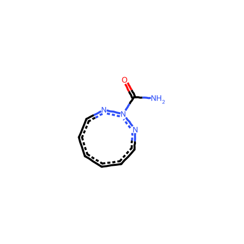 NC(=O)n1nccccccn1